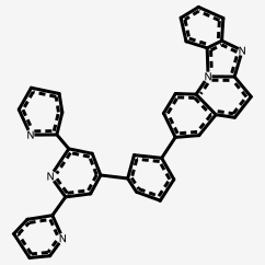 c1ccc(-c2cc(-c3cccc(-c4ccc5c(ccc6nc7ccccc7n65)c4)c3)cc(-c3ccccn3)n2)nc1